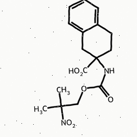 CC(C)(COC(=O)NC1(C(=O)O)CCc2ccccc2C1)[N+](=O)[O-]